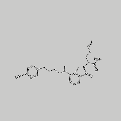 C#Cc1ccc(CCCCNc2cccc3c2CN(C(CCC=O)C(=O)NC)C3=O)cn1